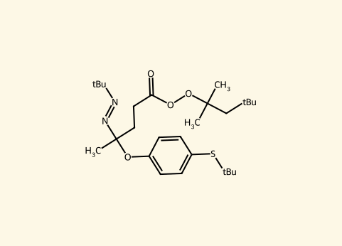 CC(C)(C)CC(C)(C)OOC(=O)CCC(C)(N=NC(C)(C)C)Oc1ccc(SC(C)(C)C)cc1